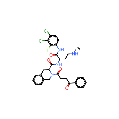 CC(C)NCC[C@H](NC(=O)[C@@H]1Cc2ccccc2CN1C(=O)CCC(=O)c1ccccc1)C(=O)Nc1ccc(Cl)c(Cl)c1F